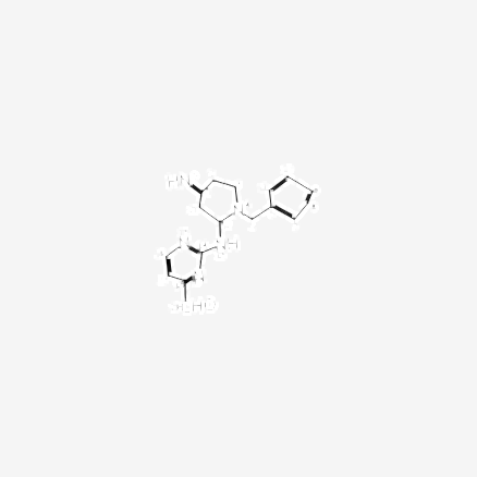 N=C1CCN(Cc2ccccc2)C(Nc2nccc(C=O)n2)C1